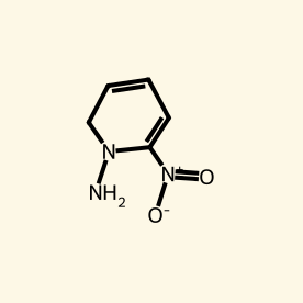 NN1CC=CC=C1[N+](=O)[O-]